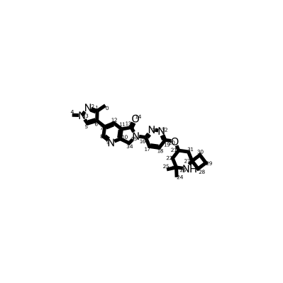 Cc1nn(C)cc1-c1cnc2c(c1)C(=O)N(c1ccc(OC3CC(C)(C)NC4(CCC4)C3)nn1)C2